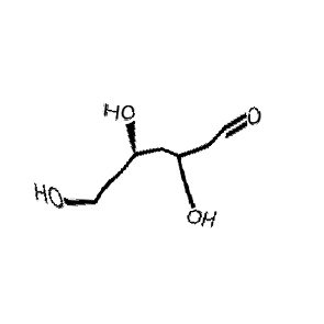 O=CC(O)[C@H](O)CO